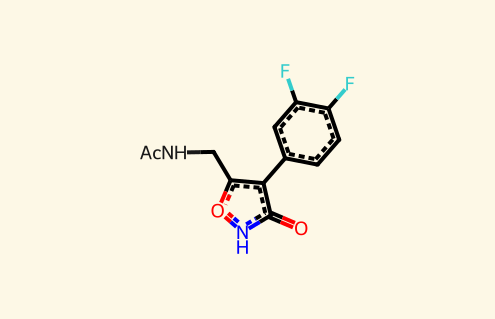 CC(=O)NCc1o[nH]c(=O)c1-c1ccc(F)c(F)c1